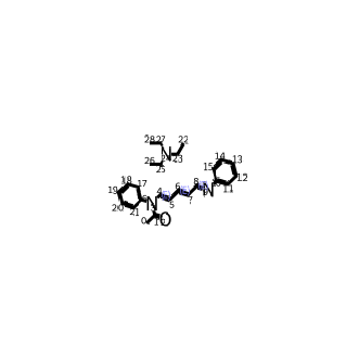 CC(=O)N(/C=C/C=C/C=N/c1ccccc1)c1ccccc1.CCN(CC)CC